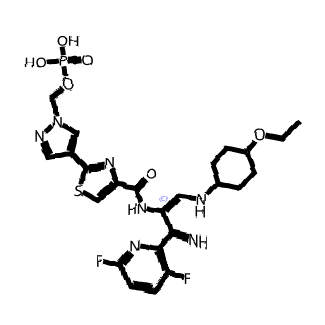 CCOC1CCC(N/C=C(/NC(=O)c2csc(-c3cnn(COP(=O)(O)O)c3)n2)C(=N)c2nc(F)ccc2F)CC1